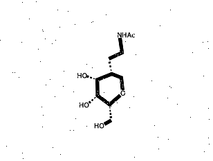 CC(=O)NCC[C@@H]1CO[C@H](CO)[C@H](O)[C@@H]1O